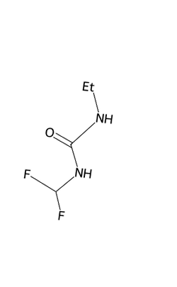 CCNC(=O)NC(F)F